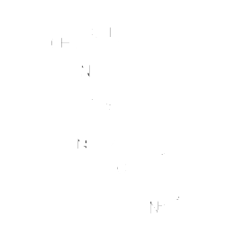 CCN(CC)c1cnc2c(c1)CC1(CN3CCC1CC3)O2